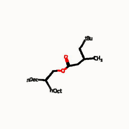 CCCCCCCCCCC(CCCCCCCC)COC(=O)CC(C)CC(C)(C)C